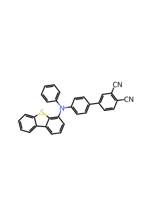 N#Cc1ccc(-c2ccc(N(c3ccccc3)c3cccc4c3sc3ccccc34)cc2)cc1C#N